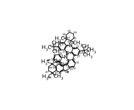 Cc1ccccc1N1B2c3cc(C(C)(C)C)cc4c3N(c3cc(C(C)(C)C)cc(c32)-c2ccc3sc5cc6c(cc5c3c21)C(C)(C)CCC6(C)C)C1(C)CCCCC41C